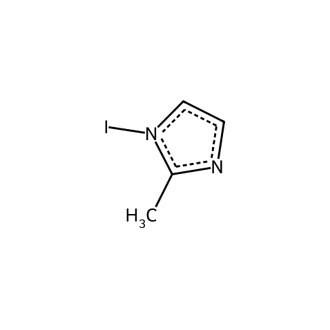 Cc1nccn1I